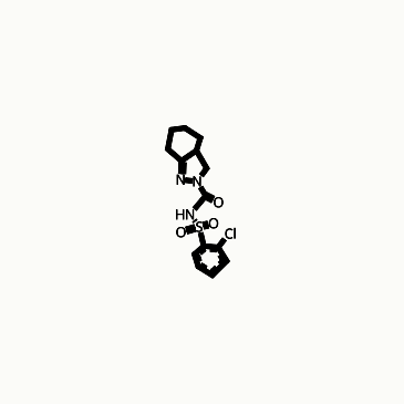 O=C(NS(=O)(=O)c1ccccc1Cl)N1CC2CCCCC2=N1